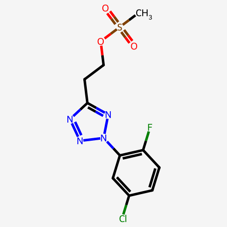 CS(=O)(=O)OCCc1nnn(-c2cc(Cl)ccc2F)n1